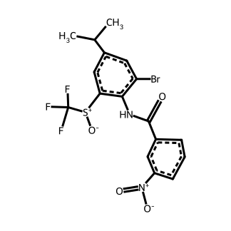 CC(C)c1cc(Br)c(NC(=O)c2cccc([N+](=O)[O-])c2)c([S+]([O-])C(F)(F)F)c1